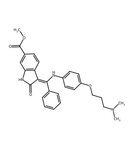 COC(=O)c1ccc2c(c1)NC(=O)/C2=C(/Nc1ccc(OCCCN(C)C)cc1)c1ccccc1